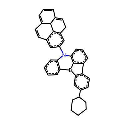 C1=CC2=CCc3cc(N4c5ccccc5B5c6cc(C7CCCCC7)ccc6-c6cccc4c65)cc4c3C2C(=C1)C=C4